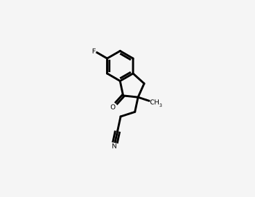 CC1(CCC#N)Cc2ccc(F)cc2C1=O